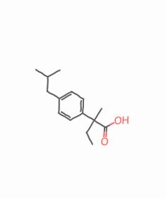 CCC(C)(C(=O)O)c1ccc(CC(C)C)cc1